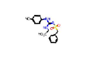 N#Cc1ccc(NC(=NS(=O)(=O)Cc2ccccc2)NCC(=O)O)cc1